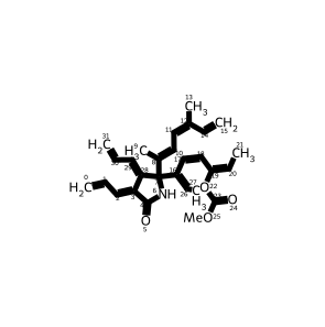 C=C/C=C1/C(=O)NC(/C(C)=C/C=C(/C)C=C)(C(/C=C\C(=C/C)OC(=O)OC)=C/C)/C1=C/C=C